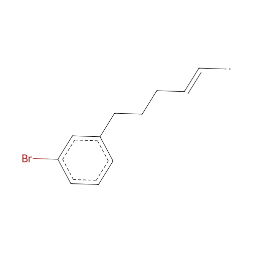 [CH2]C=CCCCc1cccc(Br)c1